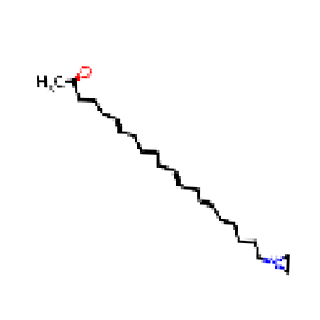 CC(=O)CCCC=CCC=CCC=CCC=CCCCCCN1CC1